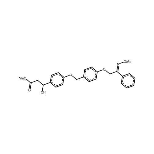 CON=C(COc1ccc(COc2ccc(C(O)CC(=O)OC)cc2)cc1)c1ccccc1